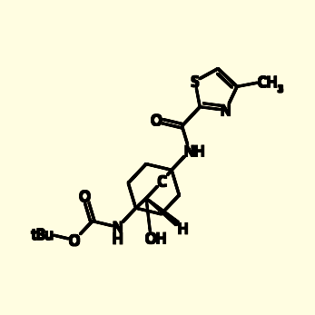 Cc1csc(C(=O)NC23CCC(NC(=O)OC(C)(C)C)(CC2)[C@@H](O)C3)n1